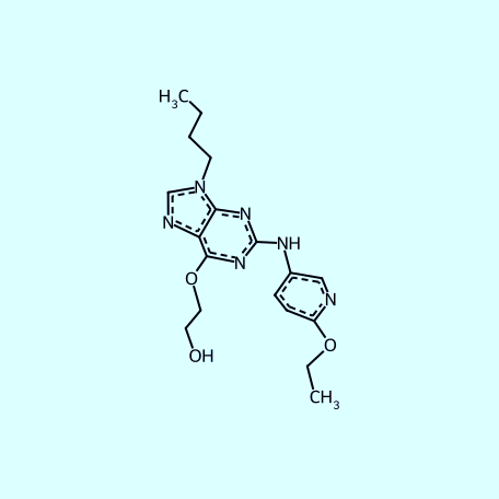 CCCCn1cnc2c(OCCO)nc(Nc3ccc(OCC)nc3)nc21